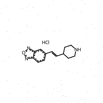 C(=CC1CCNCC1)c1ccc2nonc2c1.Cl